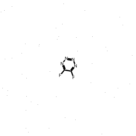 Fc1nnnnc1F